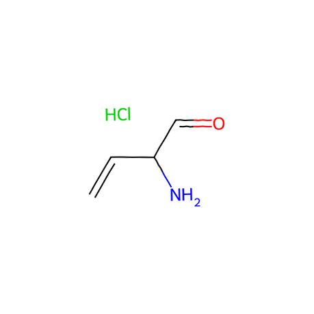 C=CC(N)C=O.Cl